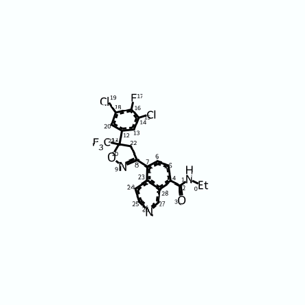 CCNC(=O)c1ccc(C2=NOC(c3cc(Cl)c(F)c(Cl)c3)(C(F)(F)F)C2)c2ccncc12